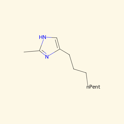 CCCCCCCCc1c[nH]c(C)n1